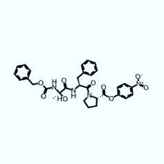 C[C@](O)(NC(=O)OCc1ccccc1)C(=O)N[C@@H](Cc1ccccc1)C(=O)N1CCC[C@H]1C(=O)Oc1ccc([N+](=O)[O-])cc1